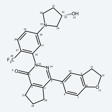 O=c1c2c(c(-c3ccc4c(c3)CCO4)nn1-c1cc(N3CC[C@H](O)C3)ccc1C(F)(F)F)CCC2